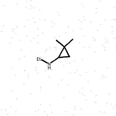 CCNC1CC1(C)C